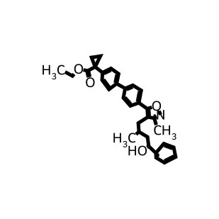 CCOC(=O)C1(c2ccc(-c3ccc(-c4onc(C)c4CC(C)CC(O)c4ccccc4)cc3)cc2)CC1